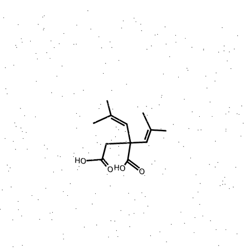 CC(C)=CC(C=C(C)C)(CC(=O)O)C(=O)O